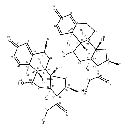 C[C@@H]1C[C@H]2[C@@H]3CCC4=CC(=O)C=C[C@]4(C)[C@@]3(F)C(O)C[C@]2(C)[C@H]1C(=O)CO.C[C@@H]1C[C@H]2[C@@H]3C[C@H](F)C4=CC(=O)C=C[C@]4(C)[C@@]3(F)[C@@H](O)C[C@]2(C)[C@H]1C(=O)CO